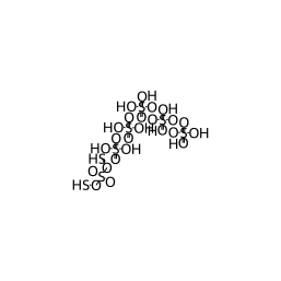 O=S(=O)(O)O.O=S(=O)(O)O.O=S(=O)(O)O.O=S(=O)(O)O.O=S(=O)(O)O.O=S(=O)(OS)OS